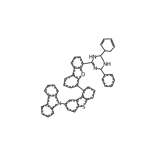 C1=CCC(C2NC(c3cccc4c3oc3c(-c5cccc6sc7ccc(-n8c9ccccc9c9ccccc98)cc7c56)cccc34)=NC(c3ccccc3)N2)C=C1